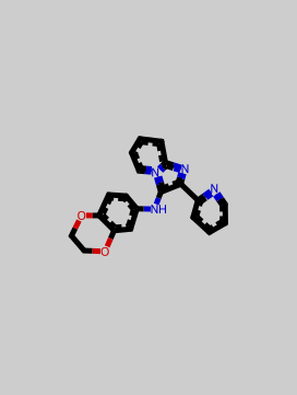 c1ccc(-c2nc3ccccn3c2Nc2ccc3c(c2)OCCO3)nc1